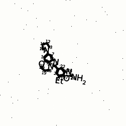 CCc1cc(-c2nc3cc(N4CCCC4)cc4c3n2CCCO4)cc2nc(N)oc12